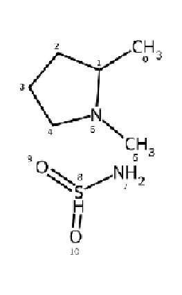 CC1CCCN1C.N[SH](=O)=O